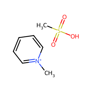 CS(=O)(=O)O.C[n+]1ccccc1